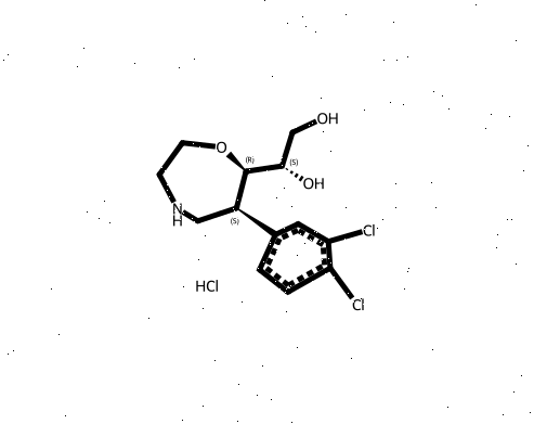 Cl.OC[C@H](O)[C@@H]1OCCNC[C@@H]1c1ccc(Cl)c(Cl)c1